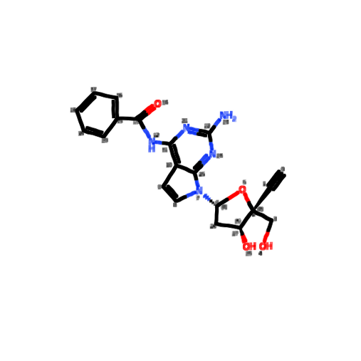 C#C[C@]1(CO)O[C@@H](n2ccc3c(NC(=O)c4ccccc4)nc(N)nc32)C[C@@H]1O